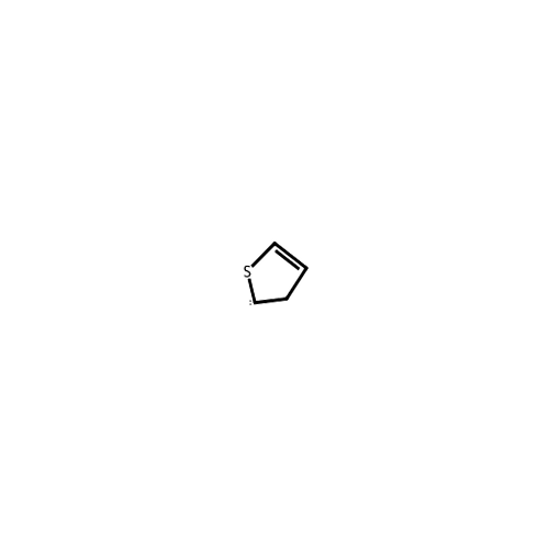 [C]1CC=CS1